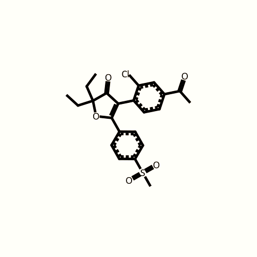 CCC1(CC)OC(c2ccc(S(C)(=O)=O)cc2)=C(c2ccc(C(C)=O)cc2Cl)C1=O